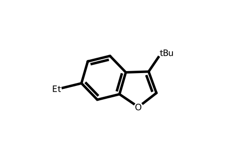 CCc1ccc2c(C(C)(C)C)coc2c1